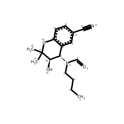 CCCCN(C=O)[C@H]1c2cc(C#N)ccc2OC(C)(C)[C@@H]1O